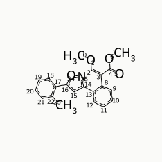 COC=C(C(=O)OC)c1ccccc1-c1cc(-c2ccccc2C)on1